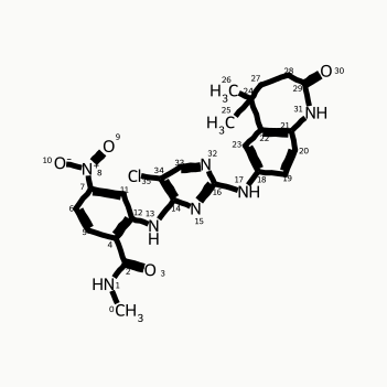 CNC(=O)c1ccc([N+](=O)[O-])cc1Nc1nc(Nc2ccc3c(c2)C(C)(C)CCC(=O)N3)ncc1Cl